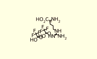 N=C(N)NCCC[C@H](N)C(=O)O.O=C(O)C(F)(F)F.O=C(O)C(F)(F)F